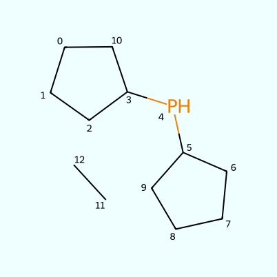 C1CCC(PC2CCCC2)C1.CC